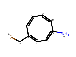 NC1=C/C=C(CS)\C=C/C=C\1